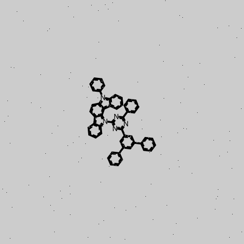 c1ccc(-c2cc(-c3ccccc3)cc(-c3nc(-c4ccccc4)nc(-n4c5ccccc5c5ccc6c(c7ccccc7n6-c6ccccc6)c54)n3)c2)cc1